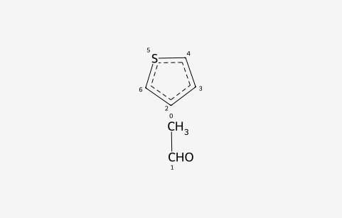 CC=O.c1ccsc1